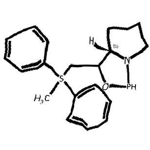 CS(CC1OPN2CCC[C@@H]12)(c1ccccc1)c1ccccc1